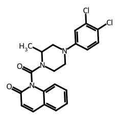 CC1CN(c2ccc(Cl)c(Cl)c2)CCN1C(=O)n1c(=O)ccc2ccccc21